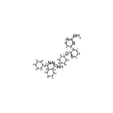 Nc1nccc(-c2cccnc2Oc2ccc(Nc3nnc(-c4ccccc4)c4ccccc34)cc2)n1